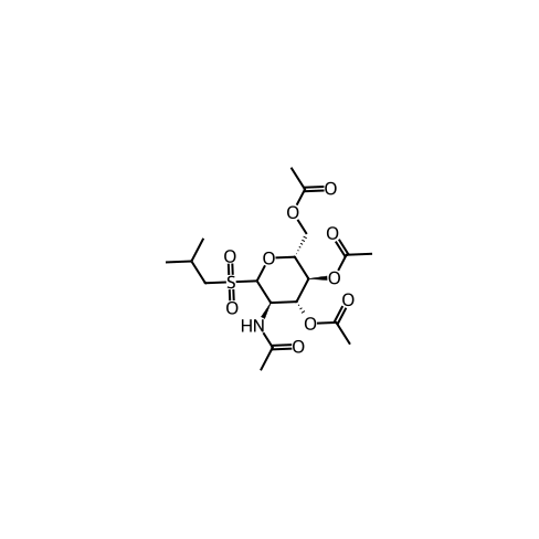 CC(=O)N[C@H]1C(S(=O)(=O)CC(C)C)O[C@H](COC(C)=O)[C@@H](OC(C)=O)[C@@H]1OC(C)=O